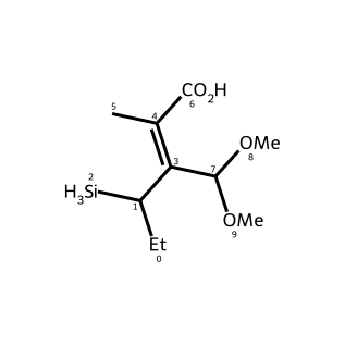 CCC([SiH3])C(=C(C)C(=O)O)C(OC)OC